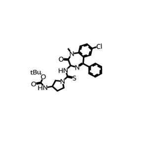 CN1C(=O)C(NC(=S)N2CCC(NC(=O)OC(C)(C)C)C2)N=C(c2ccccc2)c2cc(Cl)ccc21